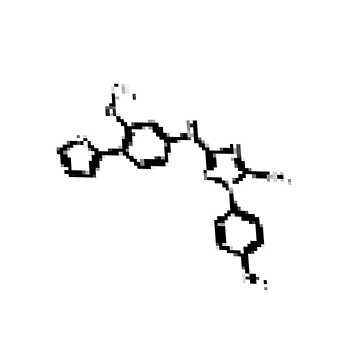 COc1cc(Nc2nc(N)n(-c3ccc(N)cc3)n2)ccc1-c1cnco1